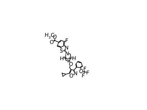 COC(=O)c1cc(F)c2nc(N3C[C@@H]4C[C@H]3C[C@H]4OCc3c(-c4ccccc4OC(F)(F)F)noc3C3CC3)sc2c1